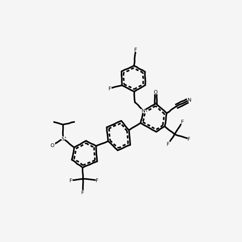 CC(C)[S+]([O-])c1cc(-c2ccc(-c3cc(C(F)(F)F)c(C#N)c(=O)n3Cc3ccc(F)cc3F)cc2)cc(C(F)(F)F)c1